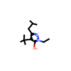 CCn1nc(CC(C)C)c(C(C)(C)C)c1O